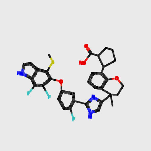 CSc1c(Oc2ccc(F)c(-c3nc(C4(C)CCOc5c(C6CCCC6C(=O)O)cccc54)c[nH]3)c2)c(F)c(F)c2[nH]ccc12